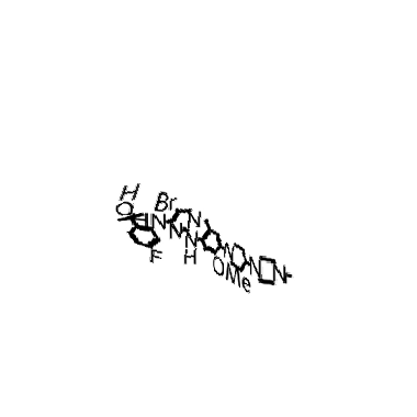 COc1cc(Nc2ncc(Br)c(Nc3cc(F)ccc3C(C)(C)O)n2)c(C)cc1N1CCC(N2CCN(C)CC2)CC1